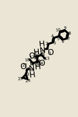 O=C(CC=Cc1ccccc1)N[C@H]1CO[C@H]2[C@@H]1OC[C@@H]2NC(=O)C1CC1